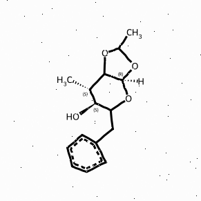 CC1OC2[C@@H](O1)OC(Cc1ccccc1)[C@@H](O)[C@@H]2C